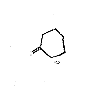 O=C1CCCCC1.[O]